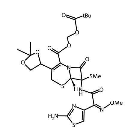 CO/N=C(\C(=O)NC1(SC)C(=O)N2C(C(=O)OCOC(=O)C(C)(C)C)=C(C3COC(C)(C)O3)CS[C@H]21)c1csc(N)n1